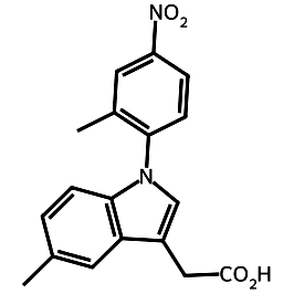 Cc1ccc2c(c1)c(CC(=O)O)cn2-c1ccc([N+](=O)[O-])cc1C